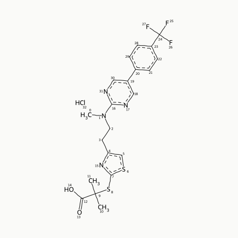 CN(CCc1csc(SC(C)(C)C(=O)O)n1)c1ncc(-c2ccc(C(F)(F)F)cc2)cn1.Cl